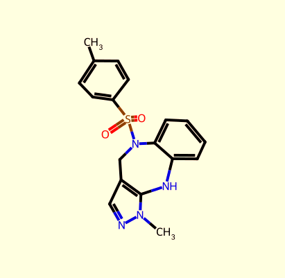 Cc1ccc(S(=O)(=O)N2Cc3cnn(C)c3Nc3ccccc32)cc1